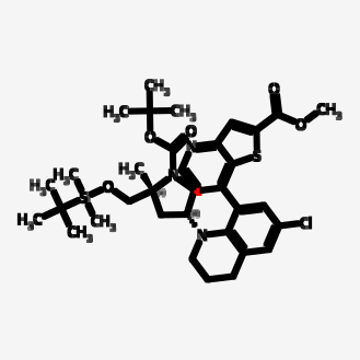 COC(=O)c1cc2nccc(-c3cc(Cl)cc4c3N([C@H]3CN(C(=O)OC(C)(C)C)[C@@](C)(CO[Si](C)(C)C(C)(C)C)C3)CCC4)c2s1